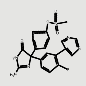 CS(=O)(=O)Oc1ccc(C2(c3ccc(F)c(-c4cncnc4)c3)N=C(N)NC2=O)cc1